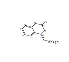 CCOC(=O)/C=C1\CN(C)Cc2ccccc21